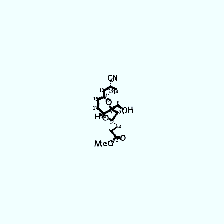 COC(=O)CC[C@H]1CC2(CO)OC(C[C@@H](C)C#N)CC[C@@H]2O1